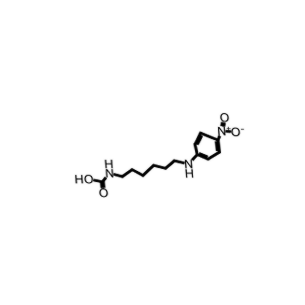 O=C(O)NCCCCCCNc1ccc([N+](=O)[O-])cc1